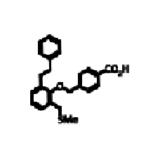 CSCc1cccc(CCc2ccccc2)c1OCc1ccc(C(=O)O)cc1